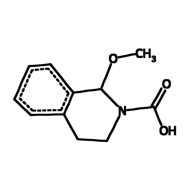 COC1c2ccccc2CCN1C(=O)O